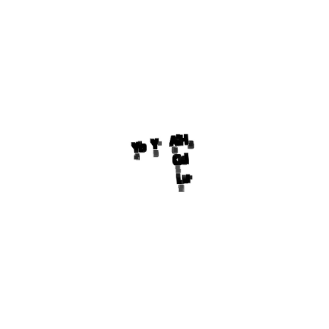 [AlH3].[Gd].[Lu].[Y].[Yb]